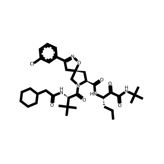 CCC[C@H](NC(=O)[C@@H]1C[C@]2(CC(c3cccc(Cl)c3)=NO2)CN1C(=O)[C@@H](NC(=O)CC1CCCCC1)C(C)(C)C)C(=O)C(=O)NC(C)(C)C